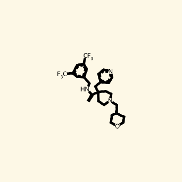 C=C(NCc1cc(C(F)(F)F)cc(C(F)(F)F)c1)C1(Cc2ccncc2)CCN(CC2CCOCC2)CC1